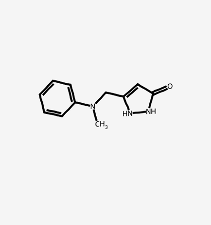 CN(Cc1cc(=O)[nH][nH]1)c1ccccc1